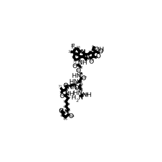 CC[C@@]1(O)C(=O)OCc2c1cc1n(c2=O)Cc2c-1nc1cc(F)c(C)c3c1c2[C@@H](NC(=O)COCNC(=O)[C@H](CCCNC(=N)N)NC(=O)CNC(=O)[C@@H](NC(=O)CCCCCN1C(=O)C=CC1=O)C(C)C)CC3